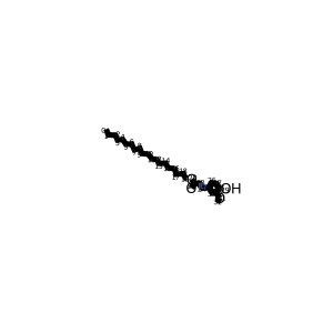 CCCCCCCCCCCCCCCCCCCCOC(=O)/C=C/c1ccc(O)c(OC)c1